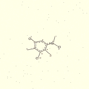 Cc1c(Cl)cc([SiH](C)Cl)c(C)c1Cl